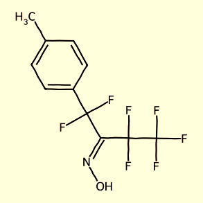 Cc1ccc(C(F)(F)C(=NO)C(F)(F)C(F)(F)F)cc1